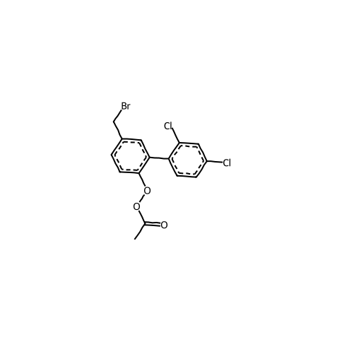 CC(=O)OOc1ccc(CBr)cc1-c1ccc(Cl)cc1Cl